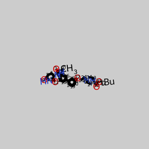 Cn1c(=O)n(C2CCC(=O)NC2=O)c2ccc(-c3cccc(OCCN4CCN(C(=O)OC(C)(C)C)CC4)c3)cc21